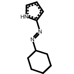 c1c[nH]c(/N=N/C2CCCCC2)c1